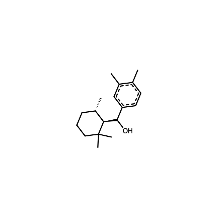 Cc1ccc(C(O)[C@@H]2[C@@H](C)CCCC2(C)C)cc1C